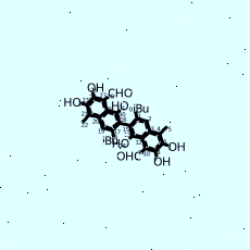 CCC(C)c1cc2c(C)c(O)c(O)c(C=O)c2c(O)c1-c1c(C(C)CC)cc2c(C)c(O)c(O)c(C=O)c2c1O